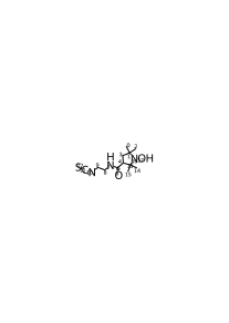 CC1(C)CC(C(=O)NCCN=C=S)C(C)(C)N1O